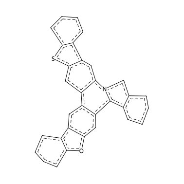 c1ccc2c(c1)cn1c3cc4c(cc3c3cc5c(cc3c21)oc1ccccc15)sc1ccccc14